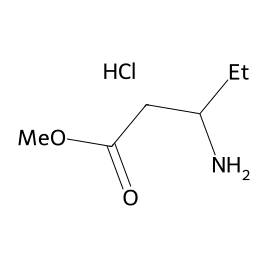 CCC(N)CC(=O)OC.Cl